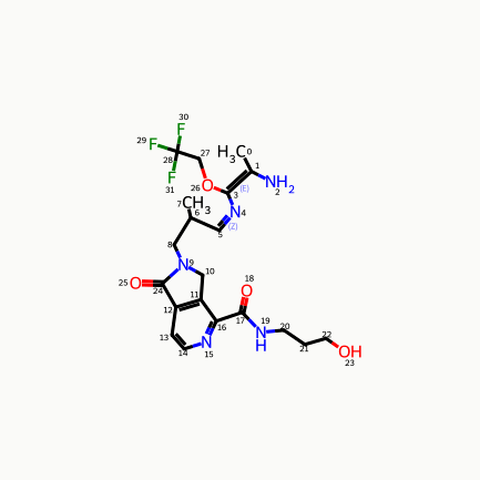 C/C(N)=C(/N=C\C(C)CN1Cc2c(ccnc2C(=O)NCCCO)C1=O)OCC(F)(F)F